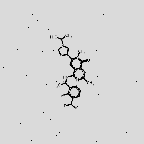 Cc1nc(N[C@H](C)c2cccc(C(F)F)c2F)c2cc(C3CCN(C(C)C)C3)n(C)c(=O)c2n1